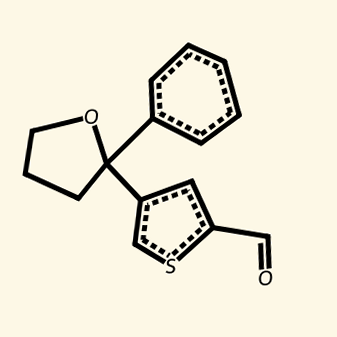 O=Cc1cc(C2(c3ccccc3)CCCO2)cs1